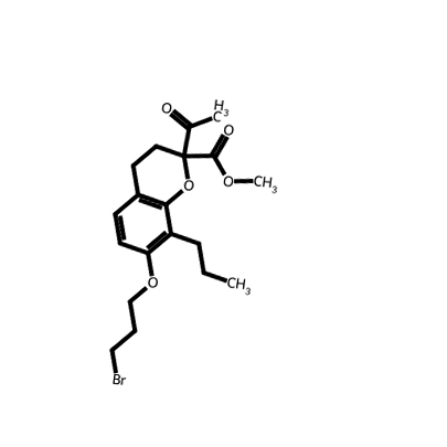 CCCc1c(OCCCBr)ccc2c1OC(C(C)=O)(C(=O)OC)CC2